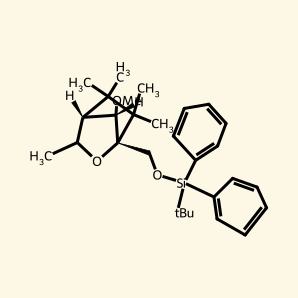 CO[C@H]1[C@@H]2C(C)O[C@@]1(CO[Si](c1ccccc1)(c1ccccc1)C(C)(C)C)C(C)(C)C2(C)C